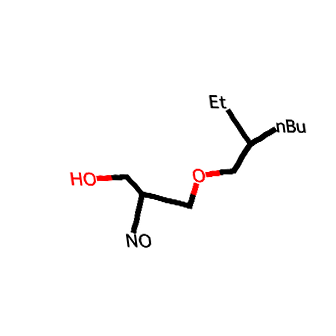 CCCCC(CC)COCC(CO)N=O